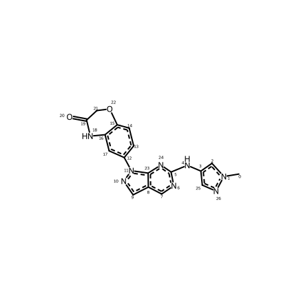 Cn1cc(Nc2ncc3cnn(-c4ccc5c(c4)NC(=O)CO5)c3n2)cn1